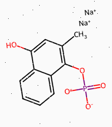 Cc1cc(O)c2ccccc2c1OP(=O)([O-])[O-].[Na+].[Na+]